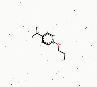 CCCOc1ccc(C(C)C)cc1